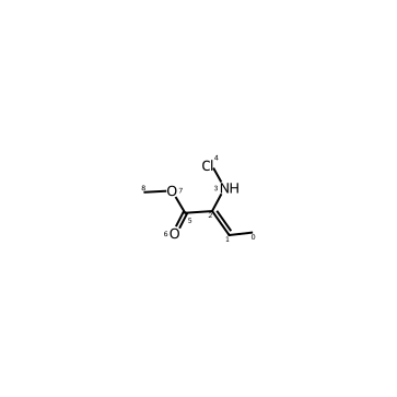 CC=C(NCl)C(=O)OC